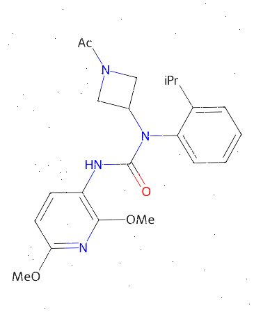 COc1ccc(NC(=O)N(c2ccccc2C(C)C)C2CN(C(C)=O)C2)c(OC)n1